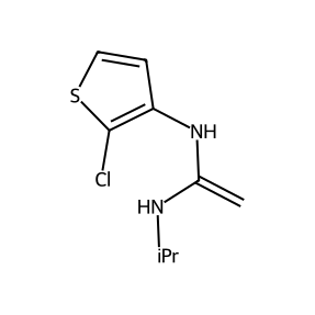 C=C(Nc1ccsc1Cl)NC(C)C